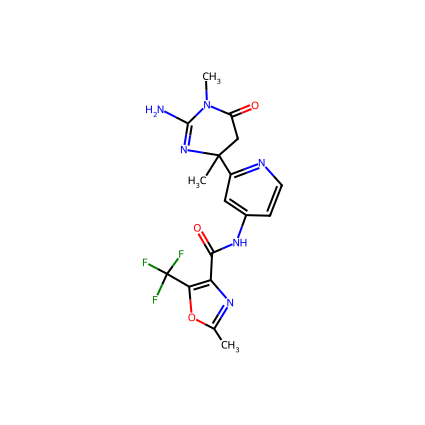 Cc1nc(C(=O)Nc2ccnc(C3(C)CC(=O)N(C)C(N)=N3)c2)c(C(F)(F)F)o1